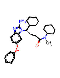 CN(C(=O)CC[C@@H](C1CCCCC1)n1c(N)nc2ccc(Oc3ccccc3)cc21)C1CCCCC1